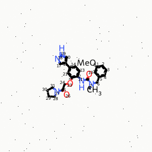 COc1cccc(CN(C)C(=O)Nc2ccc(-c3cn[nH]c3)cc2OCC(=O)N2CCCC2)c1